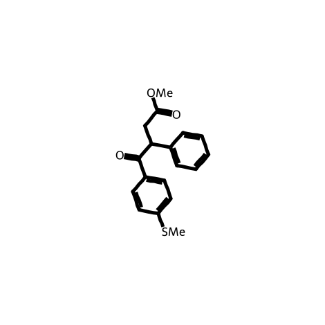 COC(=O)CC(C(=O)c1ccc(SC)cc1)c1ccccc1